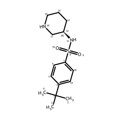 CC(C)(C)c1ccc(S(=O)(=O)N[C@@H]2CCCNC2)cc1